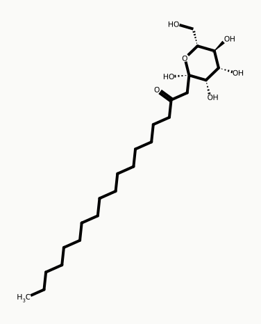 CCCCCCCCCCCCCCCCC(=O)C[C@@]1(O)O[C@H](CO)[C@@H](O)[C@H](O)[C@@H]1O